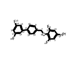 CCCc1cc(F)c(OCc2ccc(-c3cc(F)cc(F)c3)cc2)c(F)c1